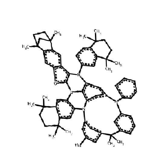 CC(C)(C)c1cc2cc(c1)C(C)(C)c1cccc(c1)N(c1ccccc1)c1cc3c4c(c1)N(c1ccc5c(c1)C(C)(C)CCC5(C)C)c1c(oc5cc6c(cc15)C1(C)CCC6(C)C1)B4c1cc4c(cc1N23)C(C)(C)CCC4(C)C